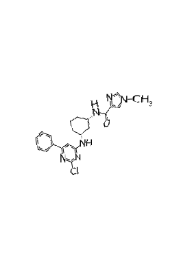 Cn1cnc(C(=O)N[C@H]2CCC[C@@H](Nc3cc(-c4ccccc4)nc(Cl)n3)C2)c1